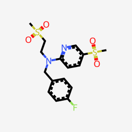 CS(=O)(=O)CCN(Cc1ccc(F)cc1)c1ccc(S(C)(=O)=O)cn1